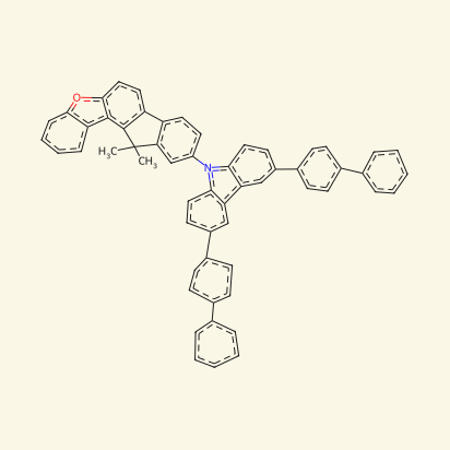 CC1(C)c2cc(-n3c4ccc(-c5ccc(-c6ccccc6)cc5)cc4c4cc(-c5ccc(-c6ccccc6)cc5)ccc43)ccc2-c2ccc3oc4ccccc4c3c21